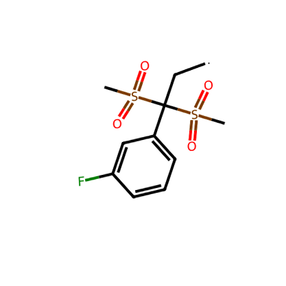 [CH2]CC(c1cccc(F)c1)(S(C)(=O)=O)S(C)(=O)=O